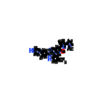 CC(=O)N1CCCC1C1=NC(c2cc3cnc(Nc4ccc(N5CCNCC5)c(C)c4)nc3n(Cc3ccccc3C(F)(F)F)c2=O)=C(C)C1